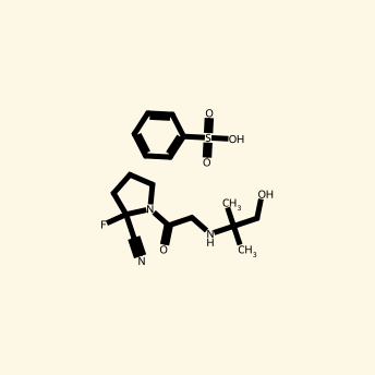 CC(C)(CO)NCC(=O)N1CCCC1(F)C#N.O=S(=O)(O)c1ccccc1